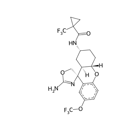 NC1=N[C@]2(CO1)c1cc(OC(F)(F)F)ccc1O[C@H]1CC[C@@H](NC(=O)C3(C(F)(F)F)CC3)C[C@@H]12